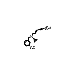 CC(=O)c1cccc(CN(C/C=C/C#CC(C)(C)C)C2CC2)c1